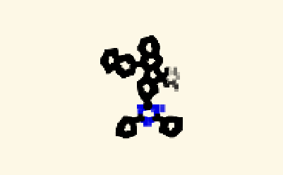 CC1(C)c2cc(C3=NC(c4ccccc4)=NC(c4ccccc4)N3)ccc2-c2c1cc1ccccc1c2-c1ccc2ccccc2c1